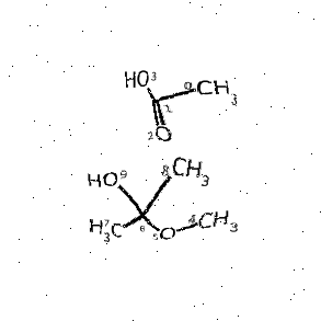 CC(=O)O.COC(C)(C)O